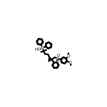 COc1ccc(S(=O)(=O)CC2(c3ccccc3)CC2CCC(C)(C)[Si](O)(c2ccccc2)c2ccccc2)cc1OC